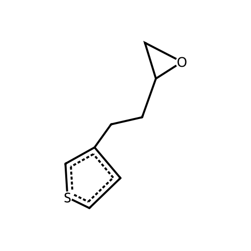 c1cc(CCC2CO2)cs1